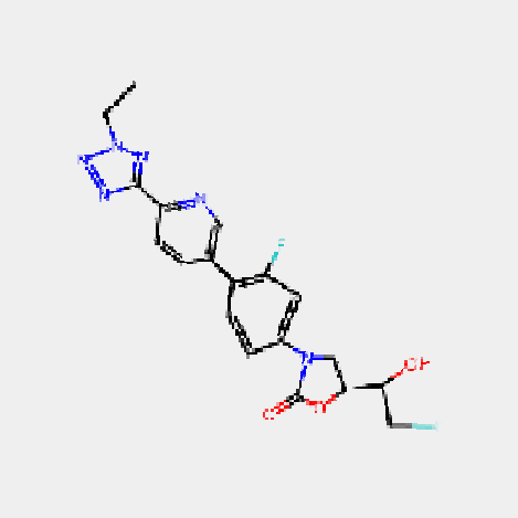 CCn1nnc(-c2ccc(-c3ccc(N4C[C@@H](C(O)CF)OC4=O)cc3F)cn2)n1